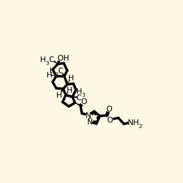 C[C@@]1(O)CC[C@@]2(C)[C@@H](CC[C@@H]3[C@@H]2CC[C@]2(C)[C@@H](C(=O)Cn4cc(C(=O)OCCN)cn4)CC[C@@H]32)C1